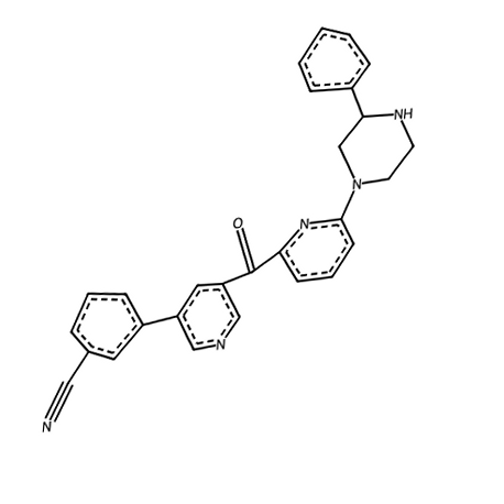 N#Cc1cccc(-c2cncc(C(=O)c3cccc(N4CCNC(c5ccccc5)C4)n3)c2)c1